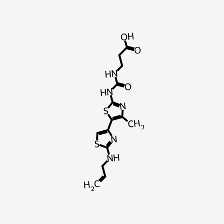 C=CCNc1nc(-c2sc(NC(=O)NCCC(=O)O)nc2C)cs1